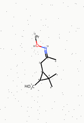 C/C(CC1C(C(=O)O)C1(C)C)=N/OC(C)C